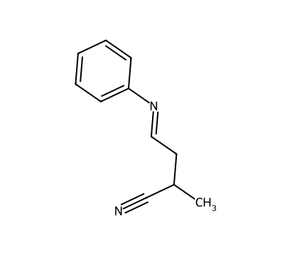 CC(C#N)CC=Nc1ccccc1